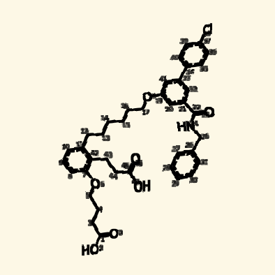 O=C(O)CCCOc1cccc(CCCCCCOc2cc(C(=O)NCc3ccccc3)cc(-c3ccc(Cl)cc3)c2)c1CCC(=O)O